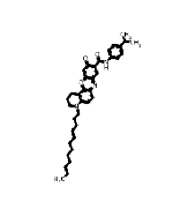 CCCCCCCCCCCCN1CCCc2c1ccc1nc3cc(C(=O)Nc4ccc(C(C)C)cc4)c(=O)cc-3oc21